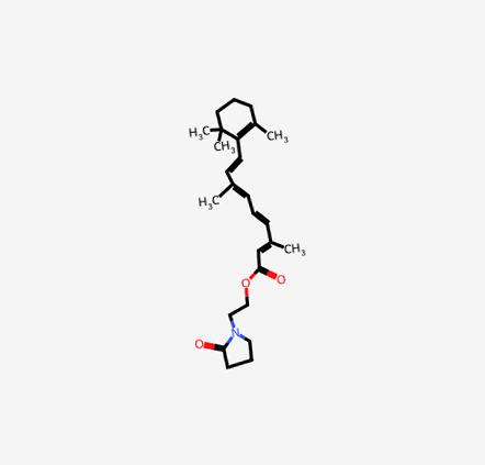 CC(C=CC1=C(C)CCCC1(C)C)=CC=CC(C)=CC(=O)OCCN1CCCC1=O